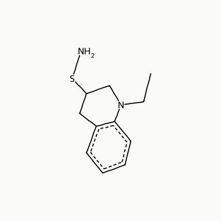 CCN1CC(SN)Cc2ccccc21